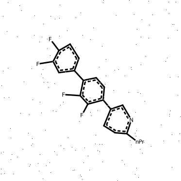 CCCc1ccc(-c2ccc(-c3ccc(F)c(F)c3)c(F)c2F)cn1